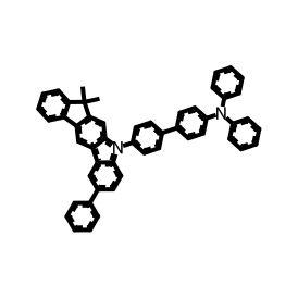 CC1(C)c2ccccc2-c2cc3c4cc(-c5ccccc5)ccc4n(-c4ccc(-c5ccc(N(c6ccccc6)c6ccccc6)cc5)cc4)c3cc21